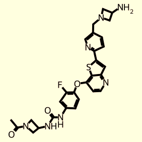 CC(=O)N1CC(NC(=O)Nc2ccc(Oc3ccnc4cc(-c5ccc(CN6CC(N)C6)cn5)sc34)c(F)c2)C1